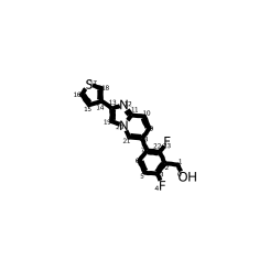 OCc1c(F)ccc(-c2ccc3nc(-c4ccsc4)cn3c2)c1F